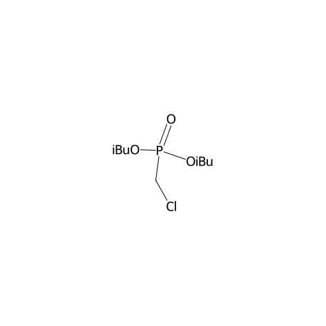 CC(C)COP(=O)(CCl)OCC(C)C